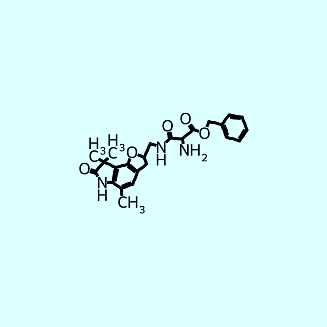 Cc1cc2c(c3c1NC(=O)C3(C)C)OC(CNC(=O)C(N)C(=O)OCc1ccccc1)C2